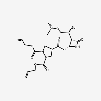 C=CCOC(=O)N1CC(C(=O)C[C@H]2NC(=O)[C@H]2[C@@H](CO[SiH](C)C)C(C)(C)C)CN1C(=O)OCC=C